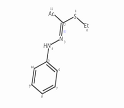 CCS/C(=N/Nc1ccccc1)C(C)=O